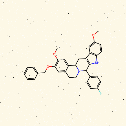 COc1ccc2[nH]c3c(c2c1)CC1c2cc(OC)c(OCc4ccccc4)cc2CCN1C3c1ccc(F)cc1